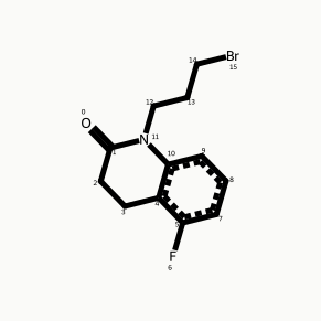 O=C1CCc2c(F)cccc2N1CCCBr